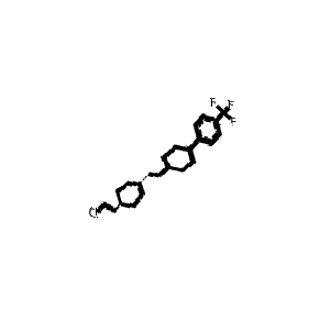 FC(F)(F)c1ccc(C2CCC(CC[C@H]3CC[C@H](/C=C/Cl)CC3)CC2)cc1